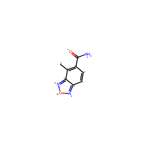 Cc1c(C(N)=O)ccc2nonc12